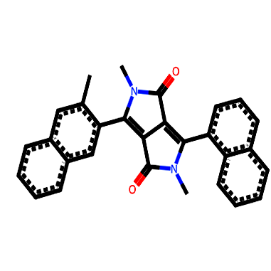 Cc1cc2ccccc2cc1C1=C2C(=O)N(C)C(c3cccc4ccccc34)=C2C(=O)N1C